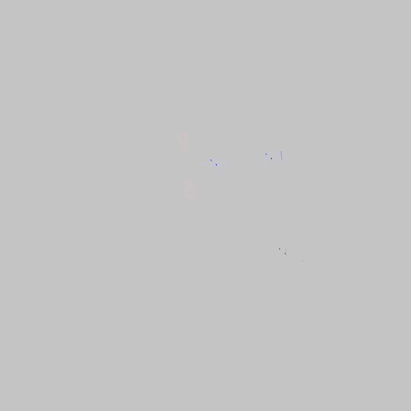 Nc1cc([N+](=O)[O-])ccc1NS(=O)(=O)c1ccccc1